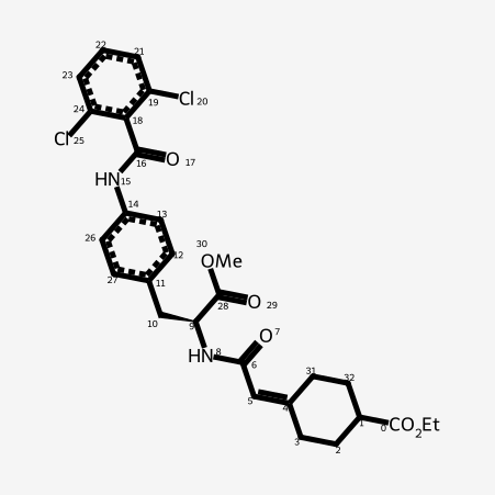 CCOC(=O)C1CCC(=CC(=O)N[C@@H](Cc2ccc(NC(=O)c3c(Cl)cccc3Cl)cc2)C(=O)OC)CC1